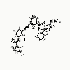 CNC(=O)C[S@@](=O)(=NC(=O)c1cncc(C#Cc2cccc(NC(=O)c3cc(C)nn3C)c2)c1)c1ccccc1